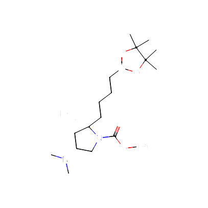 CN(C)[C@H]1CN(C(=O)OC(C)(C)C)[C@@](CCCCB2OC(C)(C)C(C)(C)O2)(C(=O)O)C1